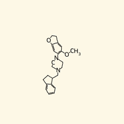 COc1cc2c(cc1N1CCN(CC3CCc4ccccc43)CC1)OCC2